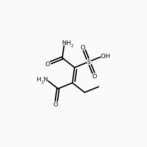 CCC(C(N)=O)=C(C(N)=O)S(=O)(=O)O